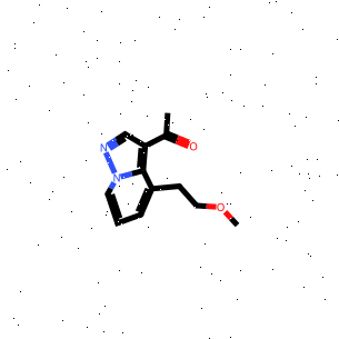 COCCc1cccn2ncc(C(C)=O)c12